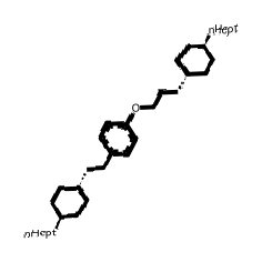 CCCCCCC[C@H]1CC[C@H](CCCOc2ccc(CC[C@H]3CC[C@H](CCCCCCC)CC3)cc2)CC1